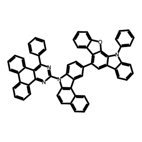 c1ccc(-c2nc(-n3c4ccc(-c5cc6c7ccccc7n(-c7ccccc7)c6c6oc7ccccc7c56)cc4c4c5ccccc5ccc43)nc3c4ccccc4c4ccccc4c23)cc1